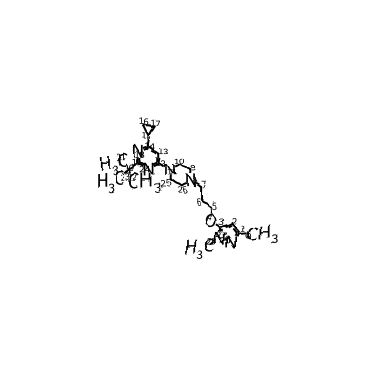 Cc1cc(OCCCN2CCN(c3cc(C4CC4)nc(C(C)(C)C)n3)CC2)n(C)n1